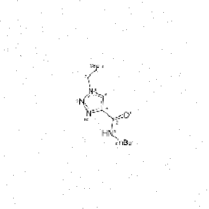 CCCCNC(=O)c1cn(C[18F])nn1